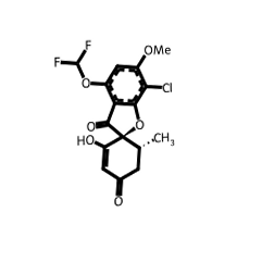 COc1cc(OC(F)F)c2c(c1Cl)O[C@]1(C2=O)C(O)=CC(=O)C[C@H]1C